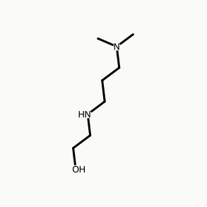 CN(C)CCCNCCO